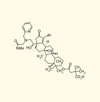 CNC(=O)CN(Cc1ccccn1)C[C@H](O)[C@@]12CC[C@]3(C)[C@H](CC[C@@H]4[C@@]5(C)CC[C@H](OC(=O)CC(C)(C)C(=O)O)C(C)(C)[C@@H]5CC[C@]43C)C1=C(C(C)C)C(=O)C2